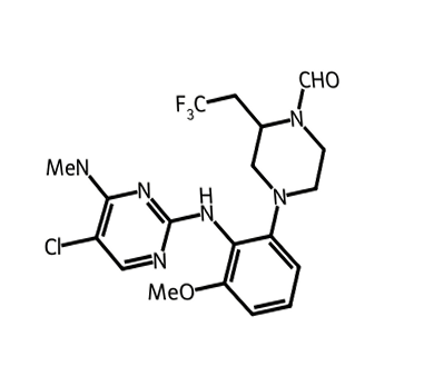 CNc1nc(Nc2c(OC)cccc2N2CCN(C=O)C(CC(F)(F)F)C2)ncc1Cl